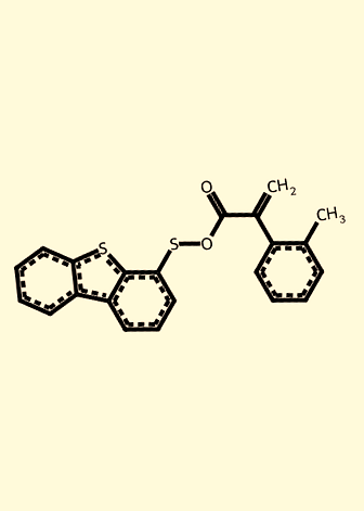 C=C(C(=O)OSc1cccc2c1sc1ccccc12)c1ccccc1C